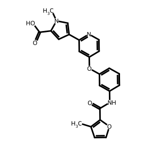 Cc1ccoc1C(=O)Nc1cccc(Oc2ccnc(-c3cc(C(=O)O)n(C)c3)c2)c1